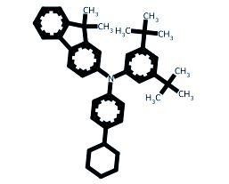 CC(C)(C)c1cc(N(c2ccc(C3CCCCC3)cc2)c2ccc3c(c2)C(C)(C)c2ccccc2-3)cc(C(C)(C)C)c1